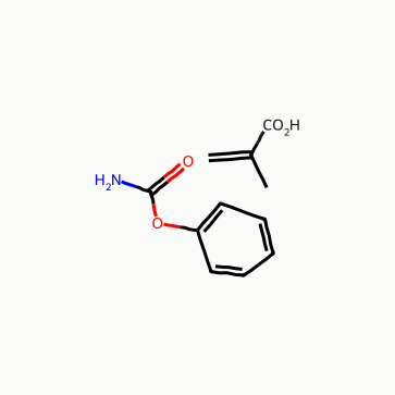 C=C(C)C(=O)O.NC(=O)Oc1ccccc1